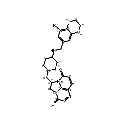 N#Cc1cc(CNC2CCN(C[C@@H]3Cn4c(=O)cnc5ccc(=O)n3c54)CC2)cc2c1OCCO2